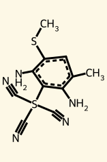 CSc1cc(C)c(N)c(S(C#N)(C#N)C#N)c1N